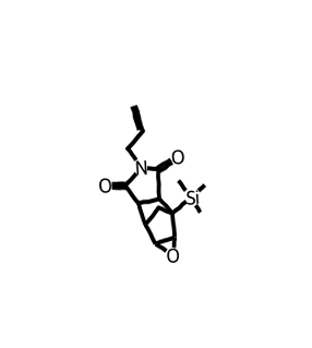 C=CCN1C(=O)C2C3CC([Si](C)(C)C)(C4OC34)C2C1=O